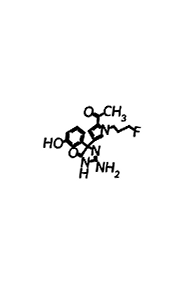 CC(=O)c1cc(C2(c3cccc(O)c3)N=C(N)NC2=O)cn1CCCF